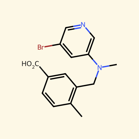 Cc1ccc(C(=O)O)cc1CN(C)c1cncc(Br)c1